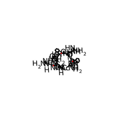 CC(=O)N[C@@H](CCCNC(=N)N)C(=O)N[C@H]1CC(=O)NCCCCC(C(N)=O)NC(=O)[C@H](Cc2c[nH]c3ccccc23)NC(=O)[C@H](CCCNC(=N)N)NC(=O)[C@@H](Cc2ccccc2)NC(=O)[C@H](CC(N)=O)NC1=O